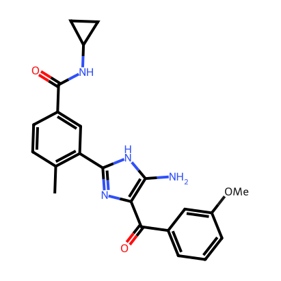 COc1cccc(C(=O)c2nc(-c3cc(C(=O)NC4CC4)ccc3C)[nH]c2N)c1